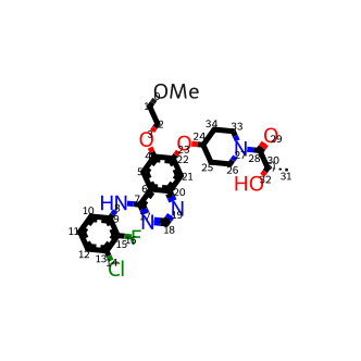 COCCOc1cc2c(Nc3cccc(Cl)c3F)ncnc2cc1OC1CCN(C(=O)[C@H](C)O)CC1